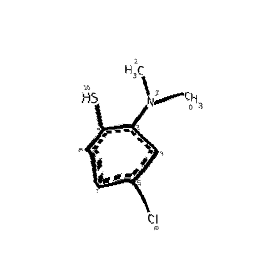 CN(C)c1cc(Cl)ccc1S